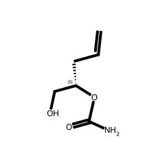 C=CC[C@@H](CO)OC(N)=O